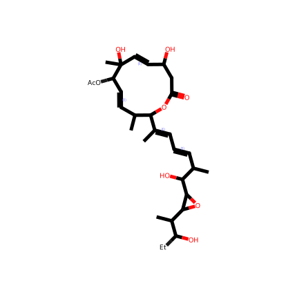 CCC(O)C(C)C1OC1C(O)C(C)/C=C/C=C(\C)C1OC(=O)CC(O)/C=C/C(C)(O)C(OC(C)=O)/C=C/C1C